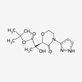 CC(C)(C)OC(=O)C(C)(O)[C@H]1OCCN(c2cc[nH]n2)C1=O